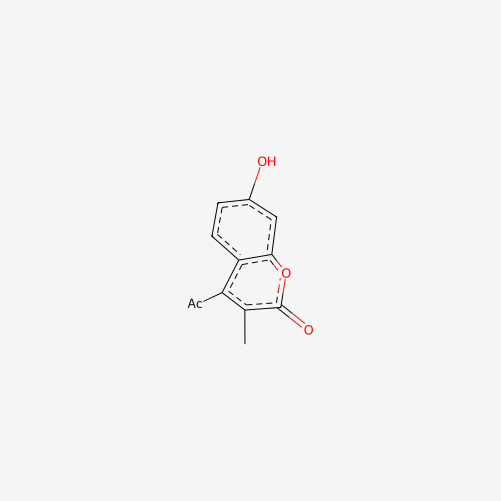 CC(=O)c1c(C)c(=O)oc2cc(O)ccc12